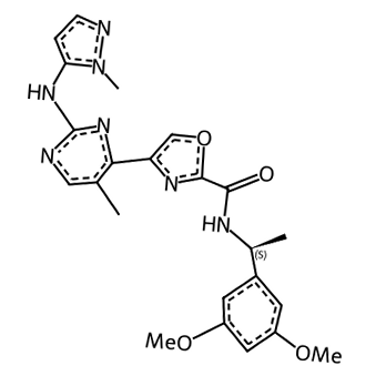 COc1cc(OC)cc([C@H](C)NC(=O)c2nc(-c3nc(Nc4ccnn4C)ncc3C)co2)c1